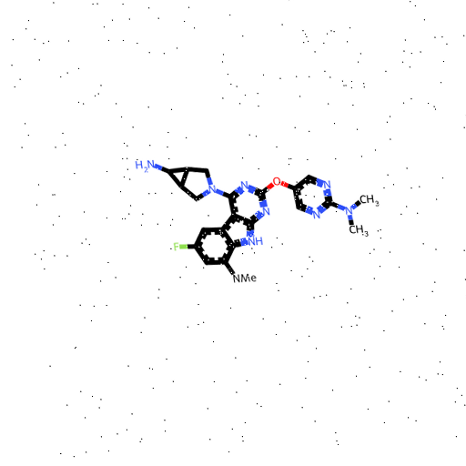 CNc1cc(F)cc2c1[nH]c1nc(Oc3cnc(N(C)C)nc3)nc(N3CC4C(N)C4C3)c12